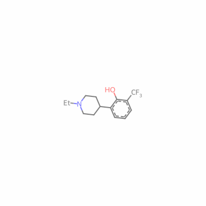 CCN1CCC(c2cccc(C(F)(F)F)c2O)CC1